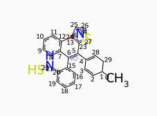 CC1C=CC(/C(=C(/c2ccccc2C#N)c2ccccc2NS)c2cccs2)=CC1